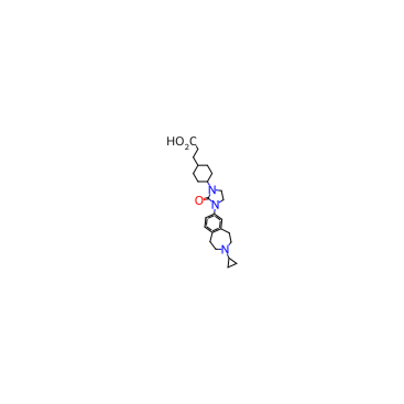 O=C(O)CCC1CCC(N2CCN(c3ccc4c(c3)CCN(C3CC3)CC4)C2=O)CC1